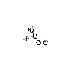 C/C=C(\C=N/C)c1cccc(-c2ncc(-c3cnn(C)c3)c(NCC3(C)COC3)n2)c1